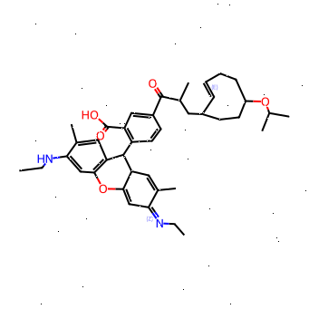 CC/N=C1/C=C2Oc3cc(NCC)c(C)cc3C(c3ccc(C(=O)C(C)CC4/C=C/CCC(OC(C)C)CC4)cc3C(=O)O)C2C=C1C